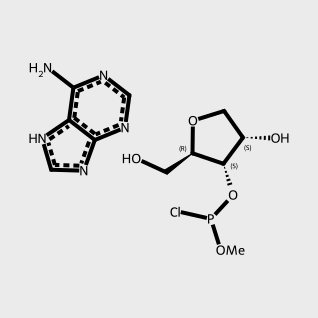 COP(Cl)O[C@H]1[C@@H](O)CO[C@@H]1CO.Nc1ncnc2nc[nH]c12